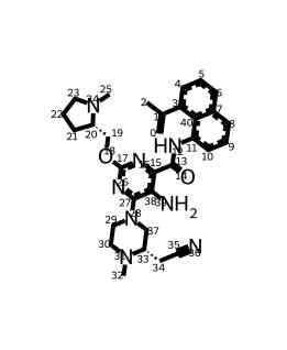 C=C(C)c1cccc2cccc(NC(=O)c3nc(OC[C@@H]4CCCN4C)nc(N4CCN(C)[C@@H](CC#N)C4)c3N)c12